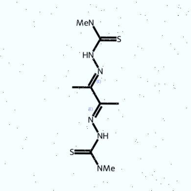 CNC(=S)N/N=C(C)/C(C)=N/NC(=S)NC